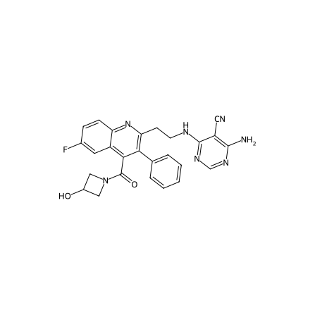 N#Cc1c(N)ncnc1NCCc1nc2ccc(F)cc2c(C(=O)N2CC(O)C2)c1-c1ccccc1